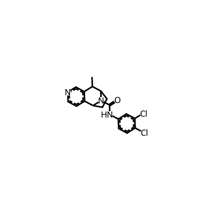 CC1c2cnccc2C2CCC1N2C(=O)Nc1ccc(Cl)c(Cl)c1